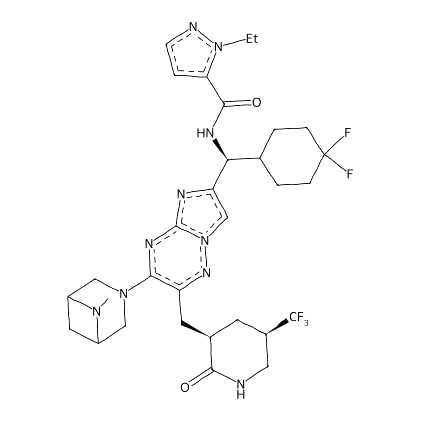 CCn1nccc1C(=O)N[C@H](c1cn2nc(C[C@H]3C[C@@H](C(F)(F)F)CNC3=O)c(N3CC4CC(C3)N4C)nc2n1)C1CCC(F)(F)CC1